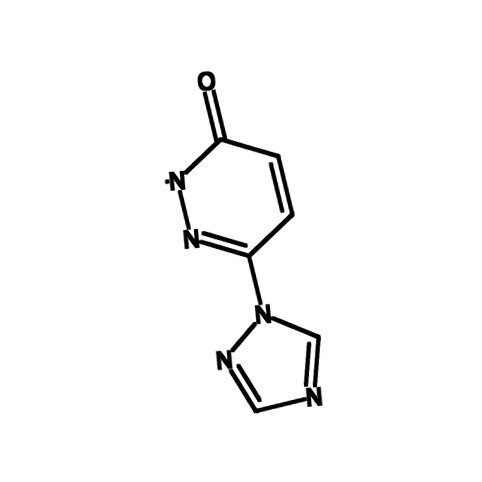 O=C1C=CC(n2cncn2)=N[N]1